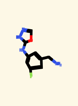 NCc1cc(F)cc(NC2NN=CO2)c1